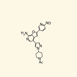 CC(=O)N1CCC(n2cc(-c3cnc(N)c4oc(-c5ccc(N=O)nc5)cc34)cn2)CC1